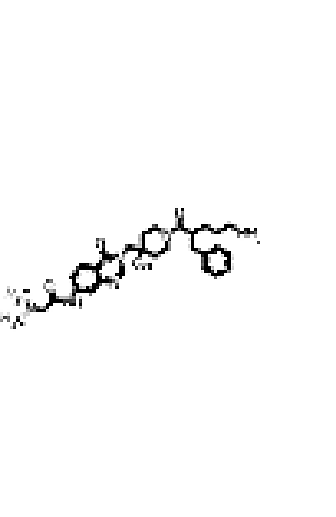 CN(C)CC(=O)Nc1ccc2c(=O)n(CC3(O)CCN(C(=O)C(CCCN)Cc4ccccc4)CC3)cnc2c1